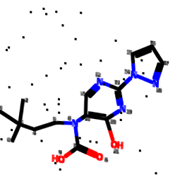 CC(C)(C)CCN(C(=O)O)c1cnc(-n2cccn2)nc1O